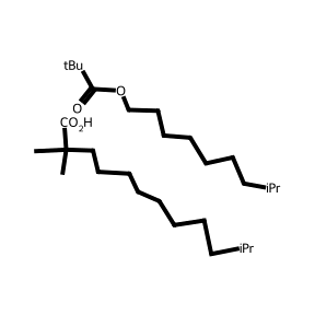 CC(C)CCCCCCCCC(C)(C)C(=O)O.CC(C)CCCCCCCOC(=O)C(C)(C)C